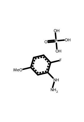 COc1ccc(F)c(NN)c1.O=P(O)(O)O